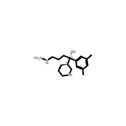 Cc1cc(C)cc([C@](O)(CCCNC(=O)O)[C@@H]2CCCNC2)c1